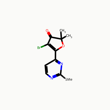 CSc1nccc(C2=C(Br)C(=O)C(C)(C)O2)n1